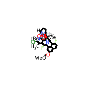 COCOc1cc(-c2nc(OC)c3c(N4C[C@H]5CC[C@@H](C4)N5C(=O)OC(C)(C)C)nc(Cl)c(C)c3c2F)c2c(C#C[Si](C(C)C)(C(C)C)C(C)C)c(F)ccc2c1